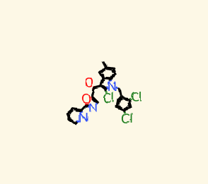 Cc1ccc2c(c1)c(C(=O)c1cnc(-c3ccccn3)o1)c(Cl)n2Cc1ccc(Cl)cc1Cl